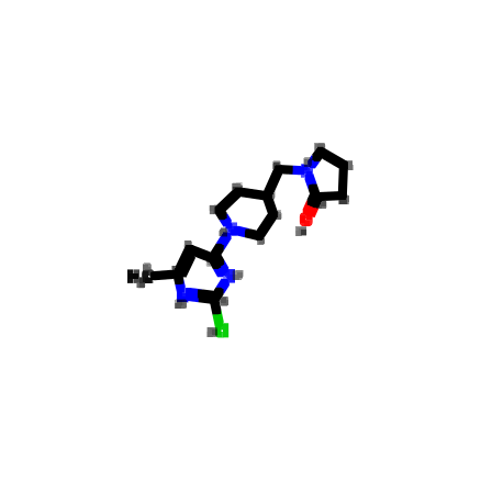 Cc1cc(N2CCC(CN3CCCC3=O)CC2)nc(Cl)n1